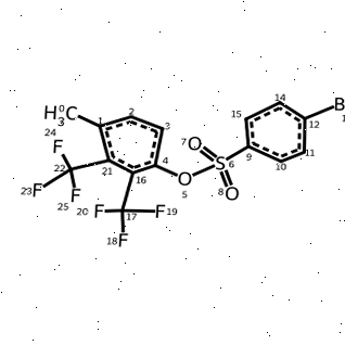 Cc1ccc(OS(=O)(=O)c2ccc(Br)cc2)c(C(F)(F)F)c1C(F)(F)F